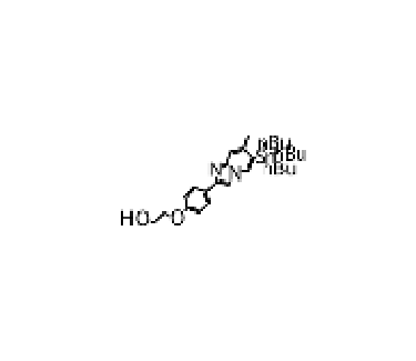 CCC[CH2][Sn]([CH2]CCC)([CH2]CCC)[c]1cn2cc(-c3ccc(OCCO)cc3)nc2cc1C